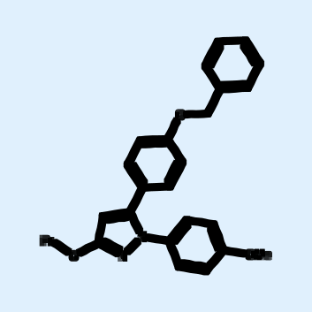 COc1ccc(-n2nc(OC(C)C)cc2-c2ccc(OCc3ccccc3)cc2)cc1